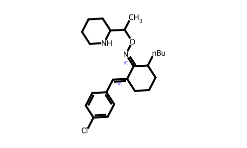 CCCCC1CCCC(=C\c2ccc(Cl)cc2)/C1=N/OC(C)C1CCCCN1